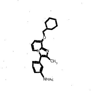 CC(=O)Nc1cccc(-c2c(C)nc3c(OCC4CCCCC4)cccn23)c1